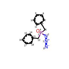 [N-]=[N+]=NP(=O)(Cc1ccccc1)Cc1ccccc1